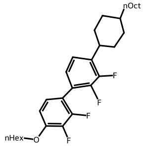 CCCCCCCCC1CCC(c2ccc(-c3ccc(OCCCCCC)c(F)c3F)c(F)c2F)CC1